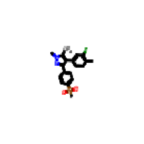 Cc1ccc(-c2c(-c3ccc(S(C)(=O)=O)cc3)nn(C)c2C(F)(F)F)cc1F